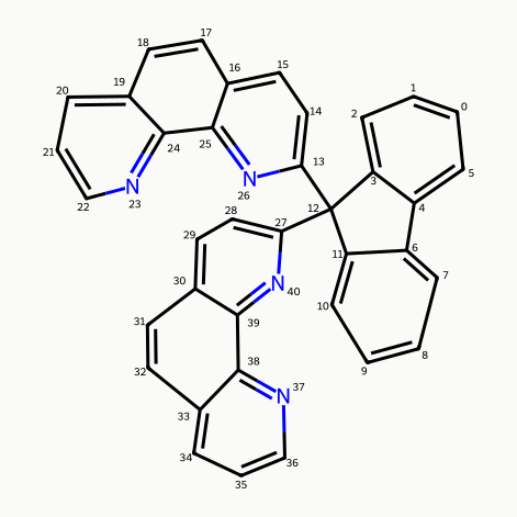 c1ccc2c(c1)-c1ccccc1C2(c1ccc2ccc3cccnc3c2n1)c1ccc2ccc3cccnc3c2n1